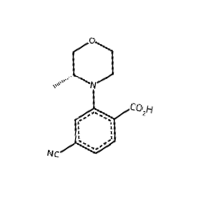 C[C@@H]1COCCN1c1cc(C#N)ccc1C(=O)O